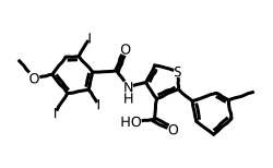 COc1cc(I)c(C(=O)Nc2csc(-c3cccc(C)c3)c2C(=O)O)c(I)c1I